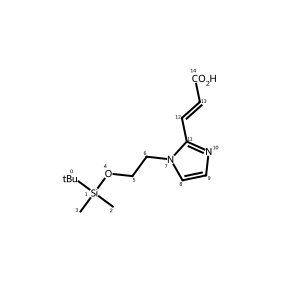 CC(C)(C)[Si](C)(C)OCCn1ccnc1C=CC(=O)O